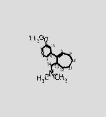 COc1cncc(C2=CCCCCC2CN(C)C)c1